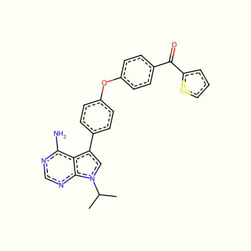 CC(C)n1cc(-c2ccc(Oc3ccc(C(=O)c4cccs4)cc3)cc2)c2c(N)ncnc21